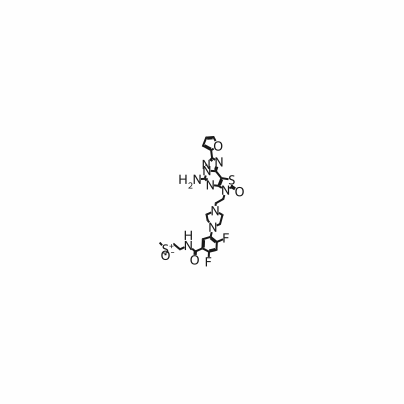 C[S+]([O-])CCNC(=O)c1cc(N2CCN(CCn3c(=O)sc4c3nc(N)n3nc(-c5ccco5)nc43)CC2)c(F)cc1F